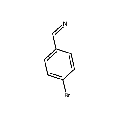 [N]=Cc1ccc(Br)cc1